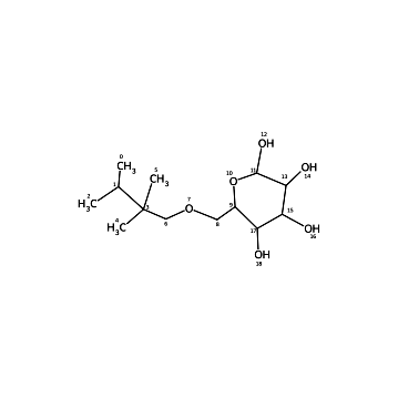 CC(C)C(C)(C)COCC1OC(O)C(O)C(O)C1O